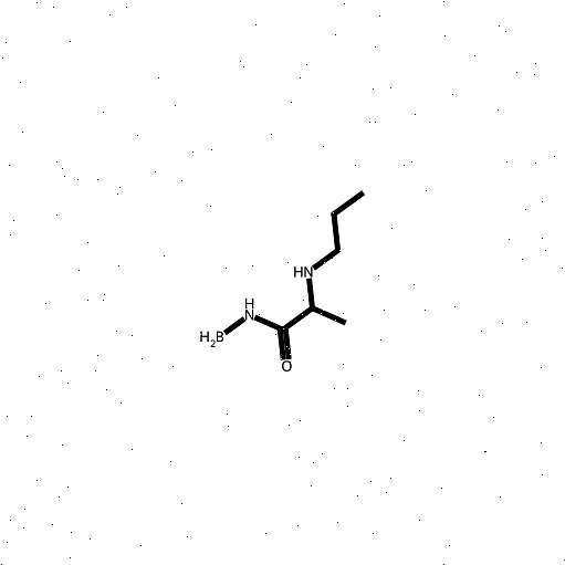 BNC(=O)C(C)NCCC